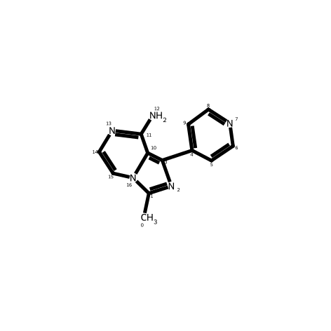 Cc1nc(-c2ccncc2)c2c(N)nccn12